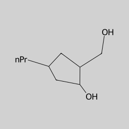 CCCC1CC(O)C(CO)C1